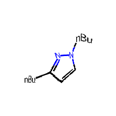 [CH2]CCCc1ccn(CCCC)n1